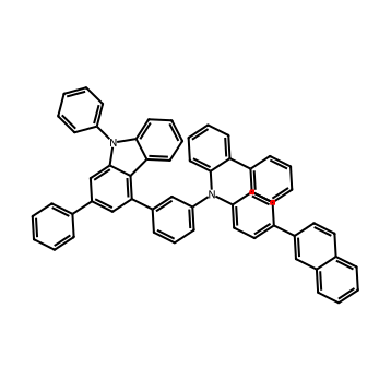 c1ccc(-c2cc(-c3cccc(N(c4ccc(-c5ccc6ccccc6c5)cc4)c4ccccc4-c4ccccc4)c3)c3c4ccccc4n(-c4ccccc4)c3c2)cc1